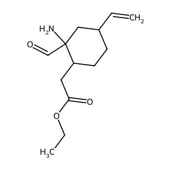 C=CC1CCC(CC(=O)OCC)C(N)(C=O)C1